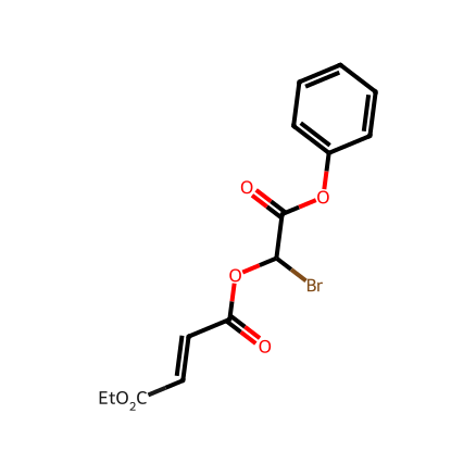 CCOC(=O)C=CC(=O)OC(Br)C(=O)Oc1ccccc1